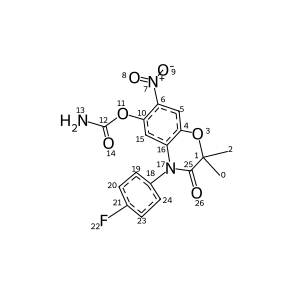 CC1(C)Oc2cc([N+](=O)[O-])c(OC(N)=O)cc2N(c2ccc(F)cc2)C1=O